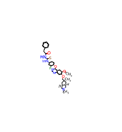 COc1cc2c(Oc3ccc(NC(=S)NC(=O)Cc4ccccc4)cc3F)ncnc2cc1OCC1(C)C[C@H]2CN(C)C[C@H]2C1